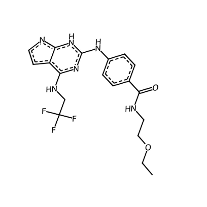 CCOCCNC(=O)c1ccc(Nc2nc(NCC(F)(F)F)c3ccnc-3[nH]2)cc1